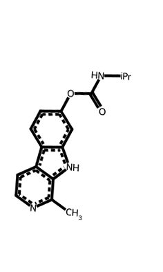 Cc1nccc2c1[nH]c1cc(OC(=O)NC(C)C)ccc12